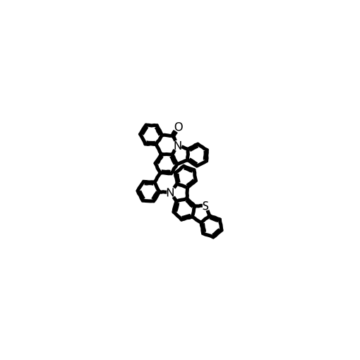 O=c1c2ccccc2c2cc(-c3ccccc3-n3c4ccccc4c4c5sc6ccccc6c5ccc43)cc3c4ccccc4n1c23